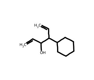 C=C[C](O)C(C=C)C1CCCCC1